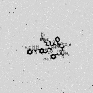 COc1ccc(CC[C@@H](NC(=O)C(CC(=O)O)NC(=O)[C@H](NC(=O)[C@H](CCCC(=O)O)NC(=O)[C@H](CCCCNC(N)=O)NC(=O)Cc2ccc(NC(=O)Nc3ccccc3C)cc2)C2CCCCC2)C(N)=O)cc1